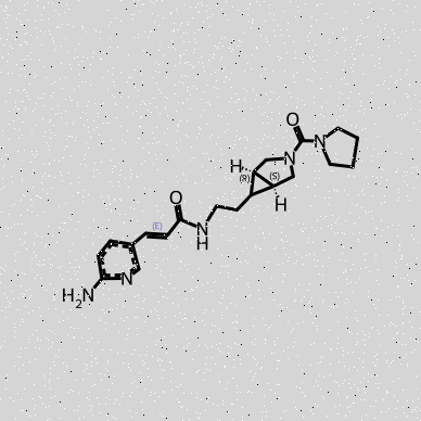 Nc1ccc(/C=C/C(=O)NCCC2[C@H]3CN(C(=O)N4CCCC4)C[C@@H]23)cn1